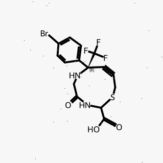 O=C1CN[C@@](c2ccc(Br)cc2)(C(F)(F)F)C#CCSC(C(=O)O)N1